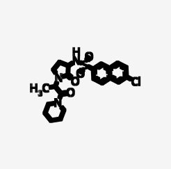 CC(C(=O)N1CCCCC1)N1CCC(NS(=O)(=O)c2ccc3cc(Cl)ccc3c2)C1=O